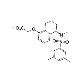 Cc1cc(C)cc(S(=O)(=O)N(C)[C@@H]2CCCc3c(OCC(=O)O)cccc32)c1